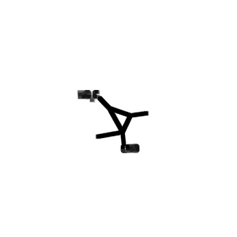 CC1C(C(=O)O)C1(C)C=O